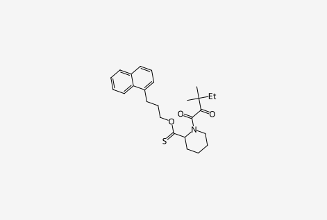 CCC(C)(C)C(=O)C(=O)N1CCCCC1C(=S)OCCCc1cccc2ccccc12